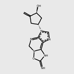 C=C1C[C@@H](n2cnc3c2=NCN2OC(=N)NC=32)C[C@@H]1O